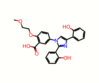 COCCOc1ccc(-n2cc(-c3ccccc3O)nc2-c2ccccc2O)cc1C(=O)O